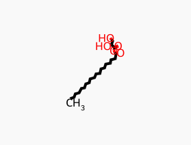 CCCCCCCCCCCCCCCCCCCC(=O)OC(=O)C(O)CO